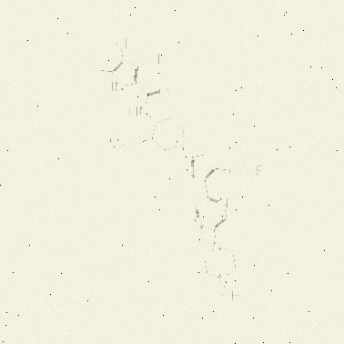 CCOC(=O)c1sc(N2CC[C@H](NC(=O)c3[nH]c(C)c(Cl)c3Cl)[C@H](OC)C2)nc1-c1cnc(N2CCN(C)CC2)cn1